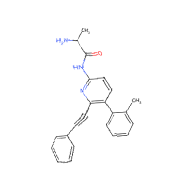 Cc1ccccc1-c1ccc(NC(=O)C(C)N)nc1C#Cc1ccccc1